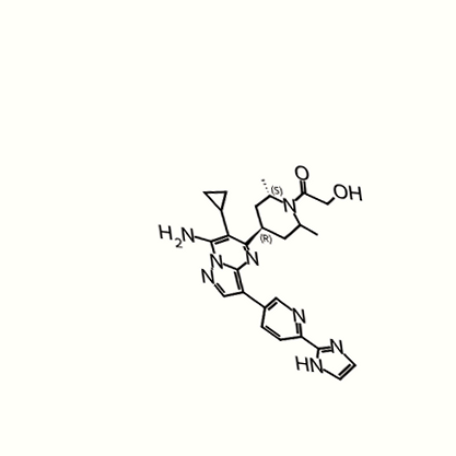 CC1C[C@@H](c2nc3c(-c4ccc(-c5ncc[nH]5)nc4)cnn3c(N)c2C2CC2)C[C@H](C)N1C(=O)CO